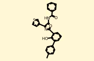 Cc1ccc(-c2cccc(-c3nc(-c4ccsc4)c(NC(=O)c4ccccc4)o3)c2O)cc1